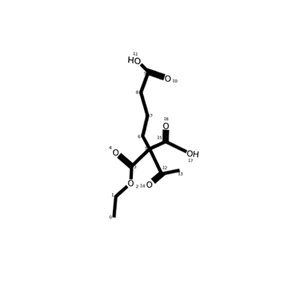 CCOC(=O)C(CCCC(=O)O)(C(C)=O)C(=O)O